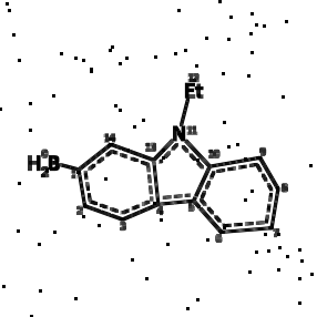 Bc1ccc2c3ccccc3n(CC)c2c1